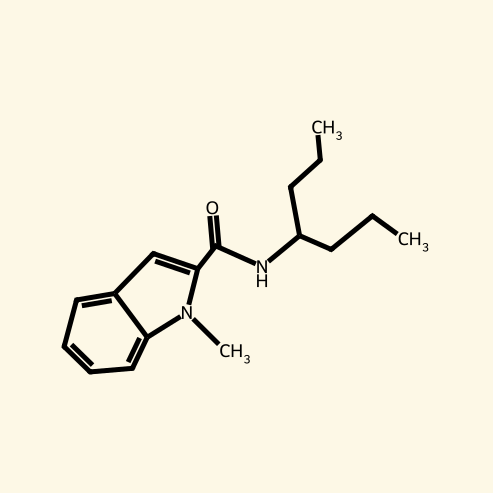 CCCC(CCC)NC(=O)c1cc2ccccc2n1C